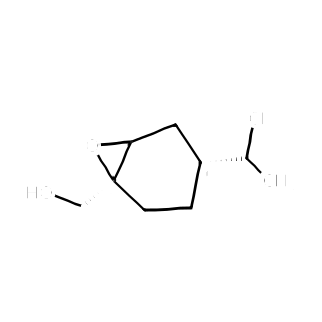 CC(C)[C@@H]1CC[C@@]2(CO)OC2C1